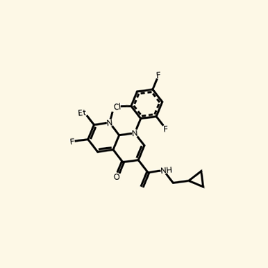 C=C(NCC1CC1)C1=CN(c2c(F)cc(F)cc2Cl)C2C(=CC(F)=C(CC)N2C)C1=O